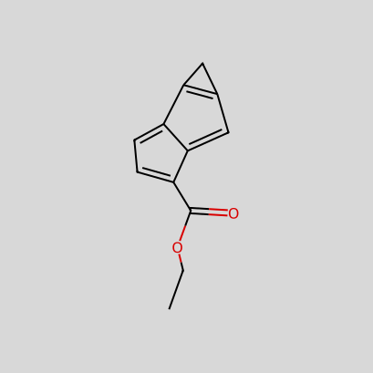 CCOC(=O)C1=CC=C2C1=CC1=C2C1